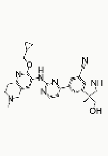 CN1CCc2nc(OCC3CC3)c(Nc3nccc(-c4cc(C#N)c5c(c4)[C@@](C)(CO)CN5)n3)cc2C1